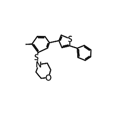 Cc1ccc(-c2csc(-c3ccccc3)c2)cc1SN1CCOCC1